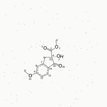 COC(=O)[C@]1(O)Cc2cc(OC)ccc2C1=O